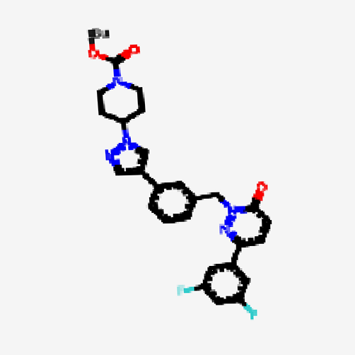 CC(C)(C)OC(=O)N1CCC(n2cc(-c3cccc(Cn4nc(-c5cc(F)cc(F)c5)ccc4=O)c3)cn2)CC1